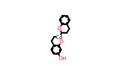 Oc1ccc2c(c1)[O][Cd]([CH]1CCc3ccccc3O1)[CH2]C2